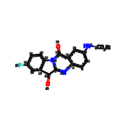 CCOC(=O)Nc1ccc2nc3n(c(=O)c2c1)-c1ccc(F)cc1C3=O